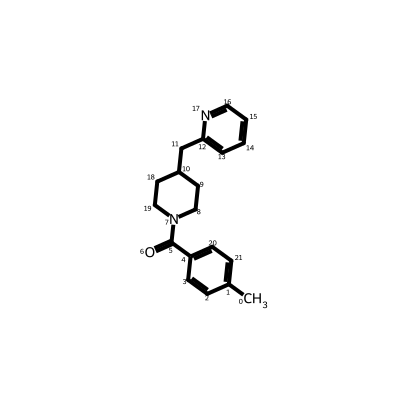 Cc1ccc(C(=O)N2CCC(Cc3ccccn3)CC2)cc1